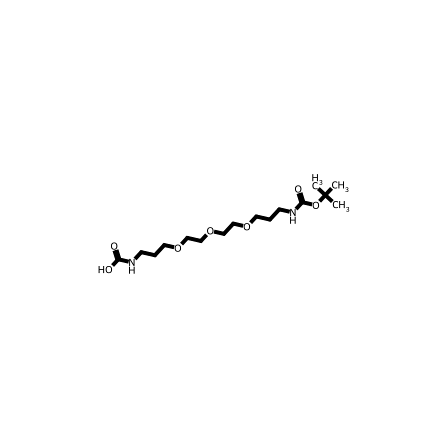 CC(C)(C)OC(=O)NCCCOCCOCCOCCCNC(=O)O